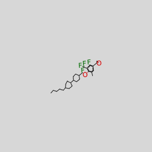 CCCCCC1CCC(C2CCC(COc3c(C)cc(C4CO4)c(F)c3C(F)(F)F)CC2)CC1